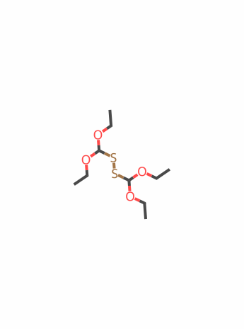 CCOC(OCC)SSC(OCC)OCC